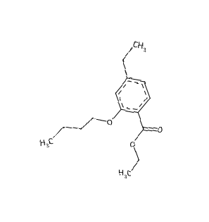 CCCCOc1cc(CC)ccc1C(=O)OCC